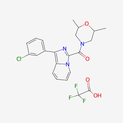 CC1CN(C(=O)c2nc(-c3cccc(Cl)c3)c3ccccn23)CC(C)O1.O=C(O)C(F)(F)F